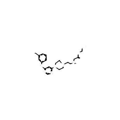 CCOC(=O)CN(C)CCN1CCN(c2cc(Nc3cccc(Cl)c3)ncn2)CC1